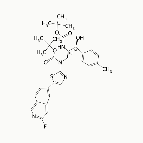 Cc1ccc([C@H](O)[C@@H](CN(C(=O)OC(C)(C)C)c2ncc(-c3ccc4cnc(F)cc4c3)s2)NC(=O)OC(C)(C)C)cc1